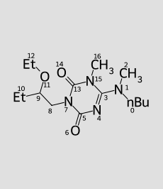 CCCCN(C)c1nc(=O)n(CC(CC)OCC)c(=O)n1C